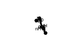 CCCN1C(=O)[C@H](CCCCNC(=O)c2cccnc2Oc2ccccc2)NC(=O)C12CCN(CCc1ccccc1)CC2